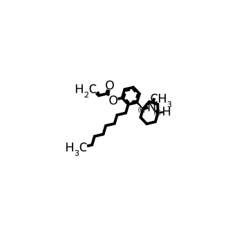 C=CC(=O)Oc1cccc([C@@]23CCC[C@@H](CC2)N3C)c1CCCCCCCC